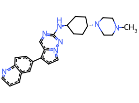 CN1CCN([C@H]2CC[C@H](Nc3ncc4c(-c5ccc6ncccc6c5)ccn4n3)CC2)CC1